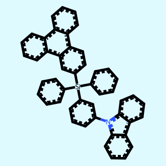 c1ccc([Si](c2ccccc2)(c2cccc(-n3c4ccccc4c4ccccc43)c2)c2ccc3c4ccccc4c4ccccc4c3c2)cc1